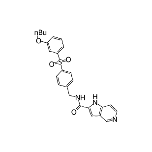 CCCCOc1cccc(S(=O)(=O)c2ccc(CNC(=O)c3cc4cnccc4[nH]3)cc2)c1